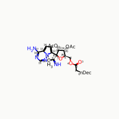 CCCCCCCCCCCC(=O)OC[C@H]1O[C@@](C(C)=N)(c2ccc3c(N)ncnn23)[C@H](OC(C)=O)[C@@H]1OC(C)=O